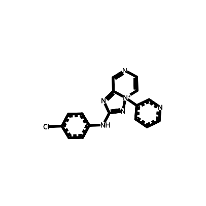 Clc1ccc(NC2=N[N+]3(c4cccnc4)C=CN=CC3=N2)cc1